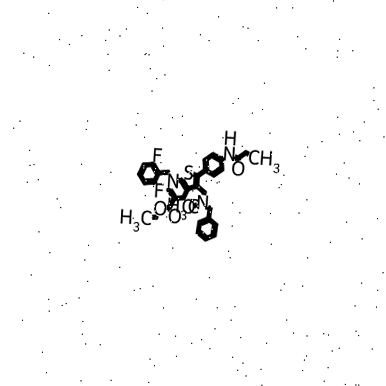 CCOC(=O)c1cn(Cc2c(F)cccc2F)c2sc(-c3ccc(NC(=O)CC)cc3)c(CN(C)Cc3ccccc3)c2c1=O